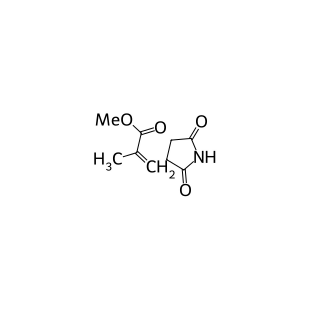 C=C(C)C(=O)OC.O=C1CCC(=O)N1